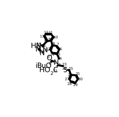 CC(C)COC(=O)N(Cc1ccc(-c2ccccc2-c2nnn[nH]2)cc1)[C@@H](CSCc1ccccc1)C(=O)O